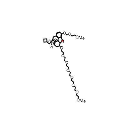 COCCOCCOCCOCCOCCOCCOCCOC1CC[C@@]2(O)[C@H]3Cc4ccc(OCOCCOC)c5c4[C@@]2(CCN3CC2CCC2)[C@H]1O5